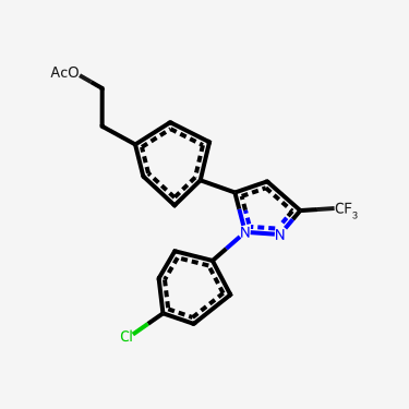 CC(=O)OCCc1ccc(-c2cc(C(F)(F)F)nn2-c2ccc(Cl)cc2)cc1